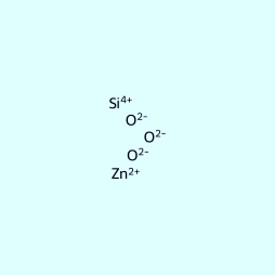 [O-2].[O-2].[O-2].[Si+4].[Zn+2]